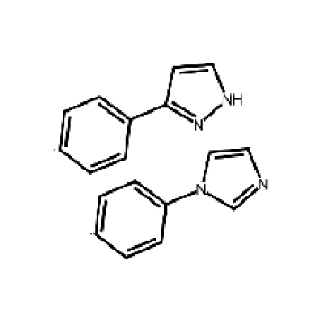 [c]1ccc(-c2cc[nH]n2)cc1.[c]1ccc(-n2ccnc2)cc1